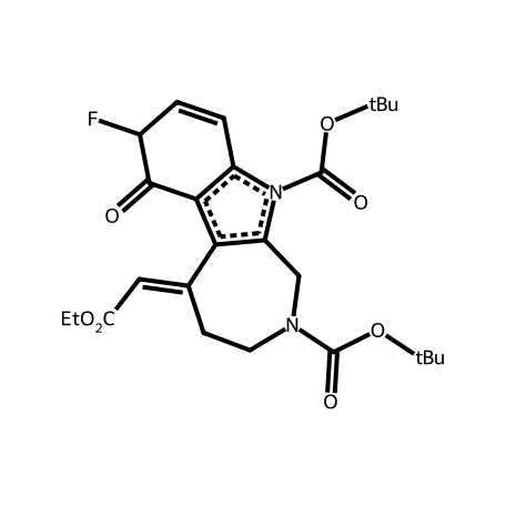 CCOC(=O)C=C1CCN(C(=O)OC(C)(C)C)Cc2c1c1c(n2C(=O)OC(C)(C)C)C=CC(F)C1=O